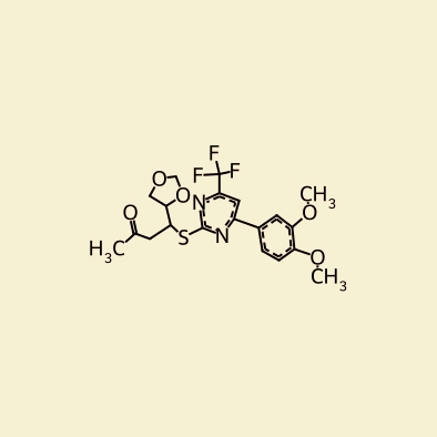 COc1ccc(-c2cc(C(F)(F)F)nc(SC(CC(C)=O)C3COCO3)n2)cc1OC